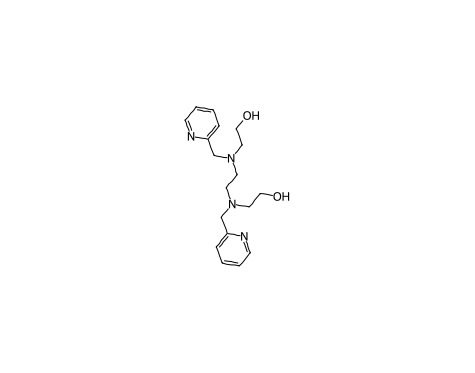 OCCN(CCN(CCO)Cc1ccccn1)Cc1ccccn1